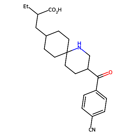 CCC(CC1CCC2(CC1)CCC(C(=O)c1ccc(C#N)cc1)CN2)C(=O)O